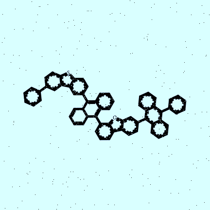 C1=CC2C(c3ccc4sc5ccc(-c6ccccc6)cc5c4c3)=c3ccccc3=C(c3cccc4c3oc3cc(-c5c6ccccc6c(-c6ccccc6)c6ccccc56)ccc34)C2C=C1